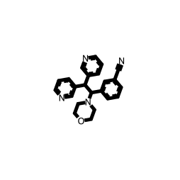 N#Cc1cccc(C(C(c2cccnc2)c2cccnc2)N2CCOCC2)c1